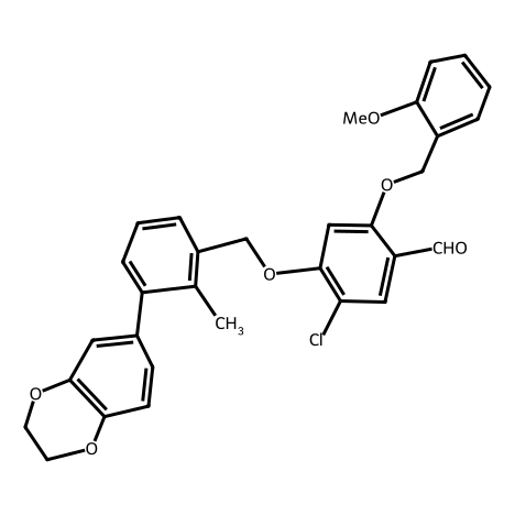 COc1ccccc1COc1cc(OCc2cccc(-c3ccc4c(c3)OCCO4)c2C)c(Cl)cc1C=O